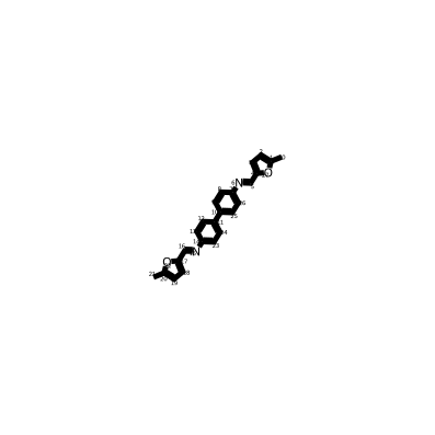 Cc1ccc(/C=N/c2ccc(-c3ccc(/N=C/c4ccc(C)o4)cc3)cc2)o1